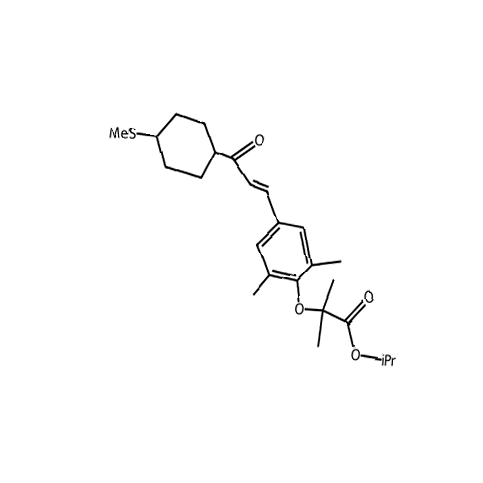 CSC1CCC(C(=O)/C=C/c2cc(C)c(OC(C)(C)C(=O)OC(C)C)c(C)c2)CC1